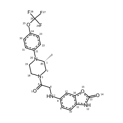 C[C@@H]1CN(C(=O)CNc2ccc3[nH]c(=O)oc3c2)CCN1c1ccc(OC(F)(F)F)cc1